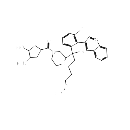 COCCCCC(O)(c1cccc(Cl)c1-c1cnc2ccccc2c1)C1CN(C(=O)C2CC(N)C(O)C2)CCO1